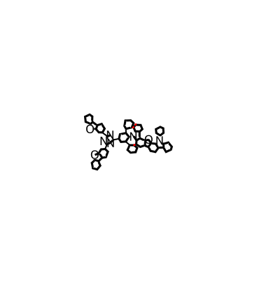 c1ccc(-c2cc(-c3nc(-c4ccc5c(c4)oc4ccccc45)nc(-c4ccc5c(c4)oc4ccccc45)n3)cc(-c3ccccc3)c2-n2c3ccccc3c3c4oc5c(ccc6c7ccccc7n(-c7ccccc7)c65)c4ccc32)cc1